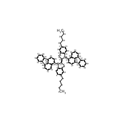 CCCCCc1ccc2c(c1)S/C(=C1/Sc3cc(CCCCC)ccc3N1c1ccc3c4c(cccc14)-c1ccccc1-3)N2c1ccc2c3c(cccc13)-c1ccccc1-2